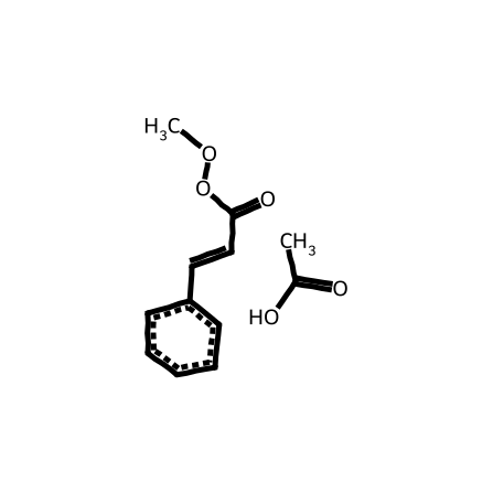 CC(=O)O.COOC(=O)C=Cc1ccccc1